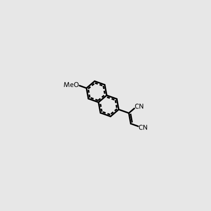 COc1ccc2cc(/C(C#N)=C/C#N)ccc2c1